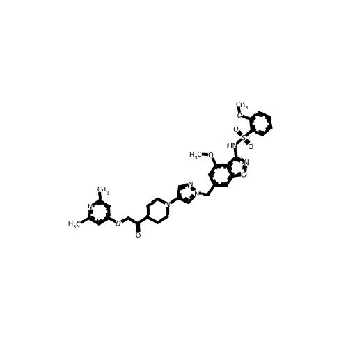 COc1ccccc1S(=O)(=O)Nc1noc2cc(Cn3cc(N4CCC(C(=O)COc5cc(C)nc(C)c5)CC4)cn3)cc(OC)c12